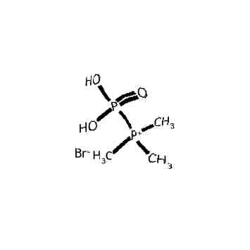 C[P+](C)(C)P(=O)(O)O.[Br-]